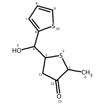 CC1SC(C(O)c2cccs2)CC1=O